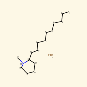 Br.CCCCCCCCCCC1CCCCN1C